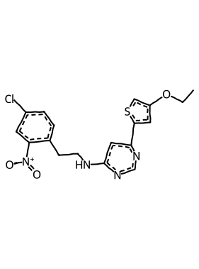 CCOc1csc(-c2cc(NCCc3ccc(Cl)cc3[N+](=O)[O-])ncn2)c1